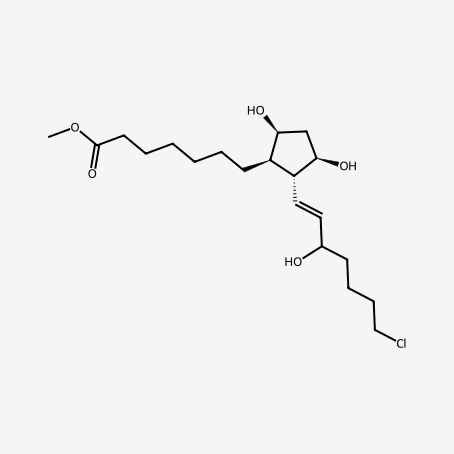 COC(=O)CCCCCC[C@@H]1[C@@H](C=CC(O)CCCCCl)[C@H](O)C[C@@H]1O